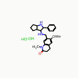 COc1cc2c(cc1CNC1C(c3ccccc3)NC3CCCC31)N(C)C(=O)CC2.Cl.Cl